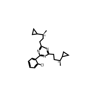 C[C@@H](CCc1nc(CC[C@H](C)C2CC2)nc(-c2ccccc2Cl)n1)C1CC1